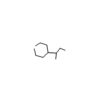 O=C(O)CC(C(=O)O)C1CCOCC1